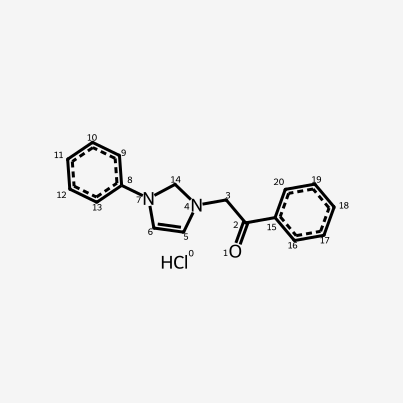 Cl.O=C(CN1C=CN(c2ccccc2)C1)c1ccccc1